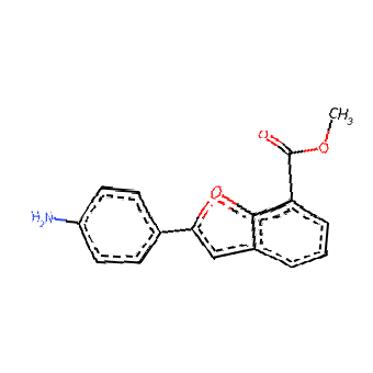 COC(=O)c1cccc2cc(-c3ccc(N)cc3)oc12